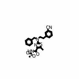 Cc1sc(N(CCc2cccc(C#N)c2)Cc2ccccc2)nc1C(=O)NS(C)(=O)=O